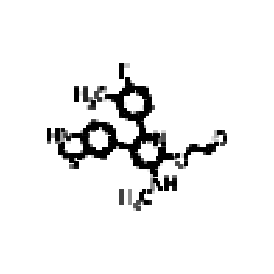 CNc1cc(-c2ccc3c(c2)SCN3)c(-c2ccc(F)c(C)c2)nc1OCC=O